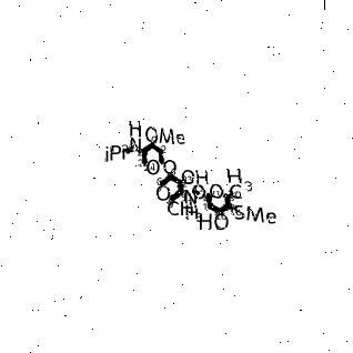 CO[C@H]1C[C@H](OC2CO[C@H](C)[C@@H](NOC3C[C@H](O)[C@H](SC)[C@@H](C)O3)[C@@H]2O)OC[C@@H]1NC(C)C